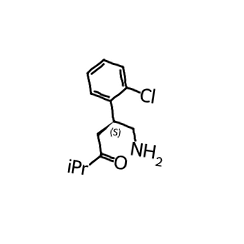 CC(C)C(=O)C[C@H](CN)c1ccccc1Cl